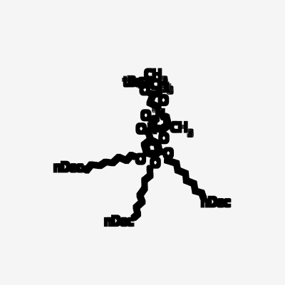 CCCCCCCCCCCCCCCCCCOc1cc(C(=O)n2c(=O)c(C)cn([C@H]3CC(O[Si](C)(C)C(C)(C)C)[C@@H](CC)O3)c2=O)cc(OCCCCCCCCCCCCCCCCCC)c1OCCCCCCCCCCCCCCCCCC